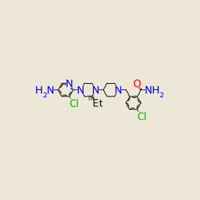 CC[C@H]1CN(c2ncc(N)cc2Cl)CCN1C1CCN(Cc2ccc(Cl)cc2C(N)=O)CC1